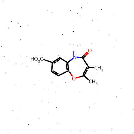 CC1=C(C)C(=O)Nc2cc(C(=O)O)ccc2O1